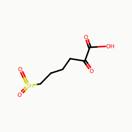 O=C(O)C(=O)CCCC[SH](=O)=O